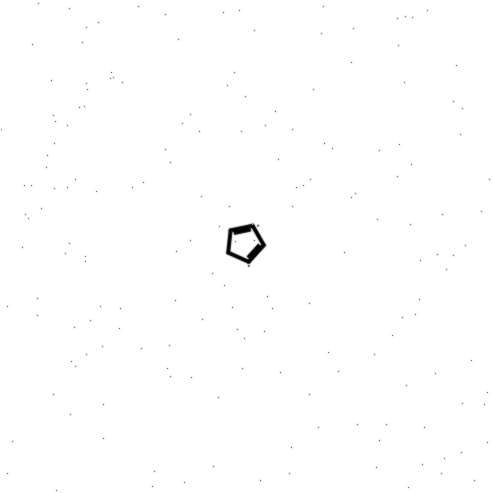 [C]1=C[C]=CC1